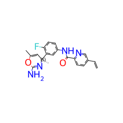 C=Cc1ccc(C(=O)Nc2ccc(F)c([C@]3(C)C=C(C)OC(N)=N3)c2)nc1